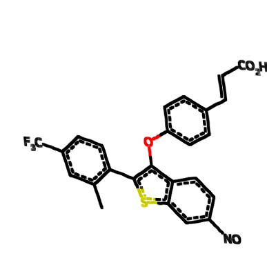 Cc1cc(C(F)(F)F)ccc1-c1sc2cc(N=O)ccc2c1Oc1ccc(/C=C/C(=O)O)cc1